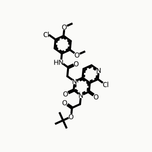 COc1cc(OC)c(NC(=O)Cn2c(=O)n(CC(=O)OC(C)(C)C)c(=O)c3c(Cl)nccc32)cc1Cl